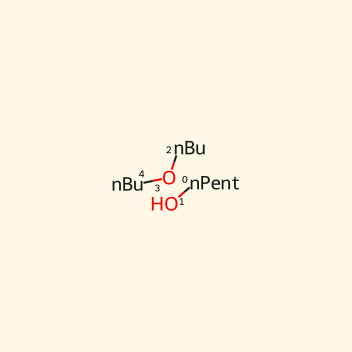 CCCCCO.CCCCOCCCC